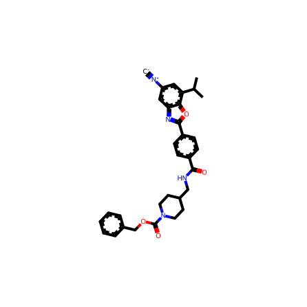 [C-]#[N+]c1cc(C(C)C)c2oc(-c3ccc(C(=O)NCC4CCN(C(=O)OCc5ccccc5)CC4)cc3)nc2c1